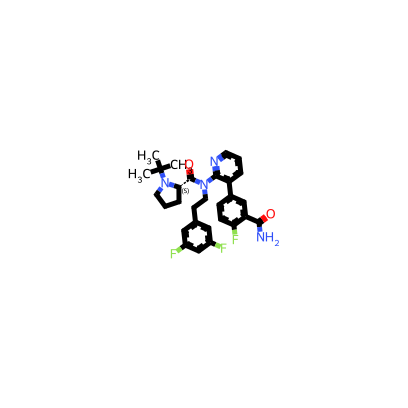 CC(C)(C)N1CCC[C@H]1C(=O)N(CCc1cc(F)cc(F)c1)c1ncccc1-c1ccc(F)c(C(N)=O)c1